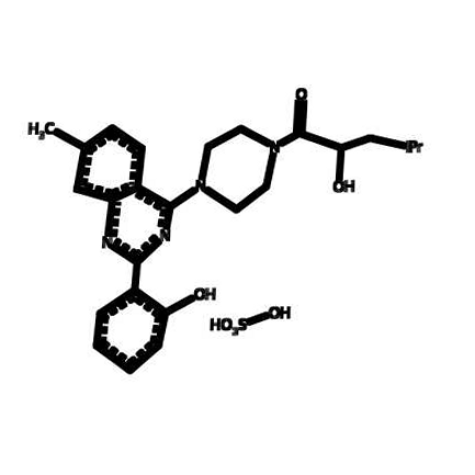 Cc1ccc2c(N3CCN(C(=O)C(O)CC(C)C)CC3)nc(-c3ccccc3O)nc2c1.O=S(=O)(O)O